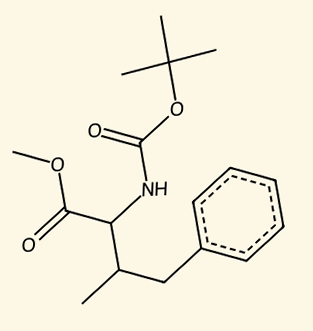 COC(=O)C(NC(=O)OC(C)(C)C)C(C)Cc1ccccc1